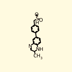 CC1C=Nc2cc(-c3ccc(C[SH](=O)=O)cc3)ccc2N1